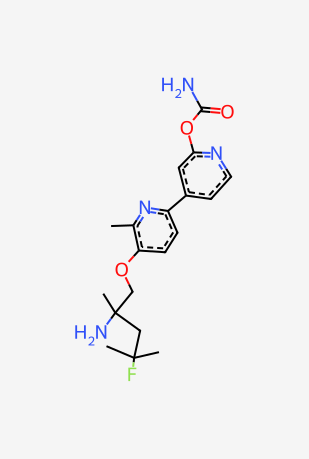 Cc1nc(-c2ccnc(OC(N)=O)c2)ccc1OCC(C)(N)CC(C)(C)F